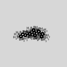 Bc1cc2c(c(B)c1-c1c(B)c(B)c(-c3c4c(B)c(B)c(B)c(B)c4c(-c4c(B)c(B)c5oc6c(B)c(B)c7c(B)c(B)c(B)c(B)c7c6c5c4B)c4c(B)c(B)c(B)c(B)c34)c(B)c1B)c(B)c(B)c1c(B)c(B)c(B)c(B)c12